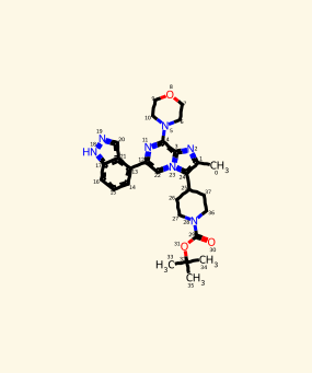 Cc1nc2c(N3CCOCC3)nc(-c3cccc4[nH]ncc34)cn2c1C1CCN(C(=O)OC(C)(C)C)CC1